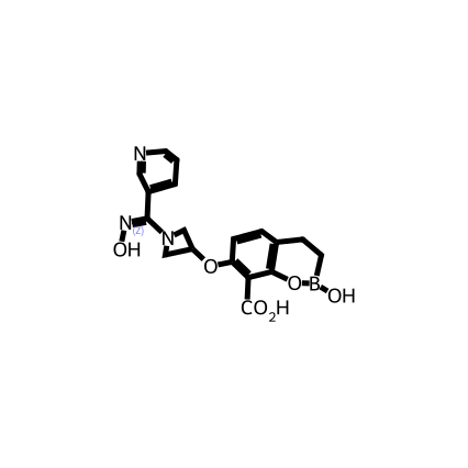 O=C(O)c1c(OC2CN(/C(=N\O)c3cccnc3)C2)ccc2c1OB(O)CC2